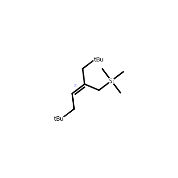 CC(C)(C)C/C=C(/CC(C)(C)C)C[Si](C)(C)C